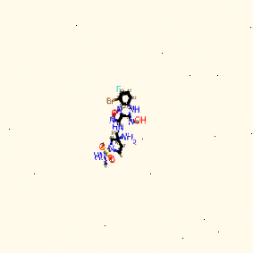 CNS(=O)(=O)N1CCC(N)(CNc2nonc2/C(=N/O)Nc2ccc(F)c(Br)c2)C1